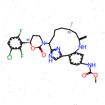 C=C1C[C@@H](C)CCCC(N2CC[C@H](c3c(F)ccc(Cl)c3F)OC2=O)c2nc(c[nH]2)-c2ccc(NC(=O)OC)cc2N1